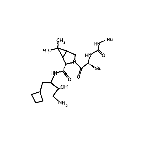 CC(C)(C)NC(=O)N[C@H](C(=O)N1CC2C([C@H]1C(=O)NC(CC1CCC1)C(O)CN)C2(C)C)C(C)(C)C